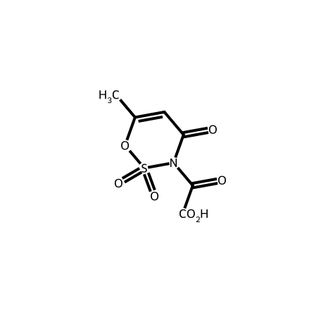 CC1=CC(=O)N(C(=O)C(=O)O)S(=O)(=O)O1